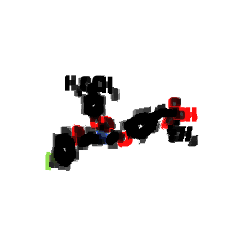 CCOC(Cc1ccc(OCCN(CCCOc2ccc(F)cc2)C(=O)Oc2ccc(C(C)C)cc2)cc1)C(=O)O